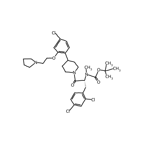 CN(C(=O)OC(C)(C)C)[C@H](Cc1ccc(Cl)cc1Cl)C(=O)N1CCC(c2ccc(Cl)cc2OCCN2CCCC2)CC1